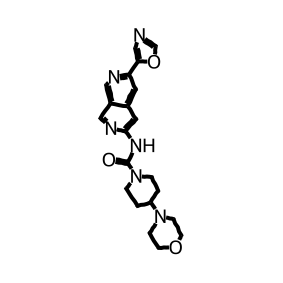 O=C(Nc1cc2cc(-c3cnco3)ncc2cn1)N1CCC(N2CCOCC2)CC1